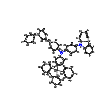 C1=CC2c3ccccc3N(c3ccc(N(c4ccc(-c5cccc(-c6ccccc6)c5)cc4)c4ccc(C5(c6ccccc6)c6ccccc6-c6ccccc65)cc4)cc3)C2C=C1